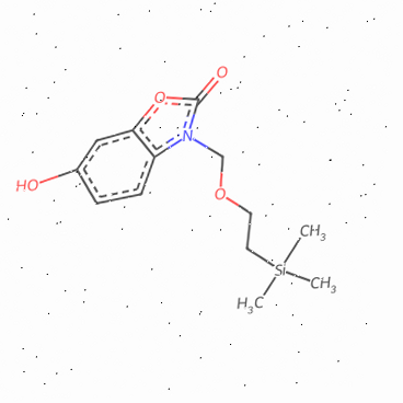 C[Si](C)(C)CCOCn1c(=O)oc2cc(O)ccc21